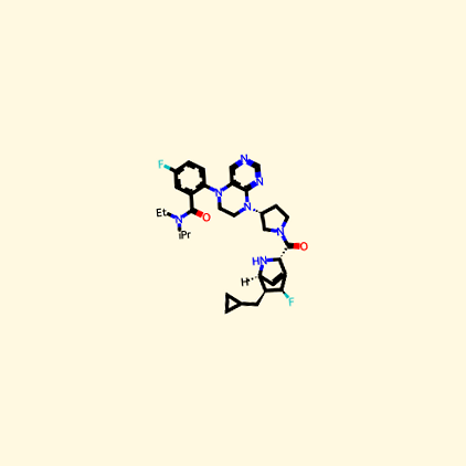 CCN(C(=O)c1cc(F)ccc1N1CCN([C@@H]2CCN(C(=O)[C@H]3N[C@H]4C=C3[C@@H](F)[C@H]4CC3CC3)C2)c2ncncc21)C(C)C